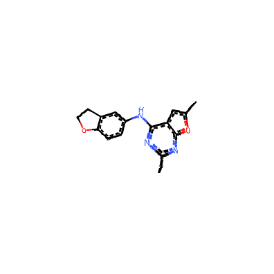 Cc1nc(Nc2ccc3c(c2)CCO3)c2cc(C)oc2n1